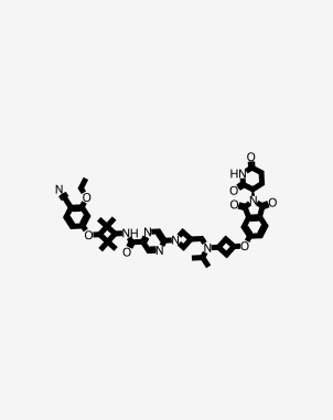 CCOc1cc(OC2C(C)(C)C(NC(=O)c3cnc(N4CC(CN(C(C)C)C5CC(Oc6ccc7c(c6)C(=O)N([C@@H]6CCC(=O)NC6=O)C7=O)C5)C4)cn3)C2(C)C)ccc1C#N